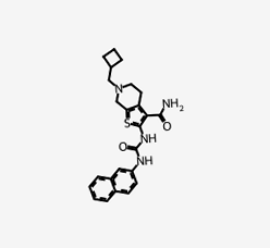 NC(=O)c1c(NC(=O)Nc2ccc3ccccc3c2)sc2c1CCN(CC1CCC1)C2